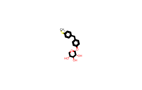 CSc1ccc(Cc2ccc(O[C@H]3OC[C@@H](O)[C@H](O)[C@H]3O)cc2)cc1